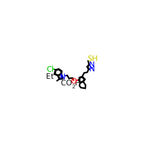 CCc1c(Cl)ccc2c1c(C)c(C(=O)O)n2CCCOc1cc(CCc2cc(CS)nn2C)cc2c1CCCC2